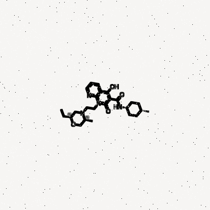 CC[C@H]1CN(CCn2c(=O)c(C(=O)N[C@H]3CC[C@@H](C)CC3)c(O)c3cccnc32)[C@@H](C)CO1